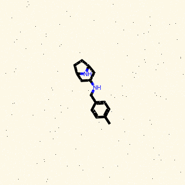 Cc1ccc(CNC2CC3CCC(C2)N3)cc1